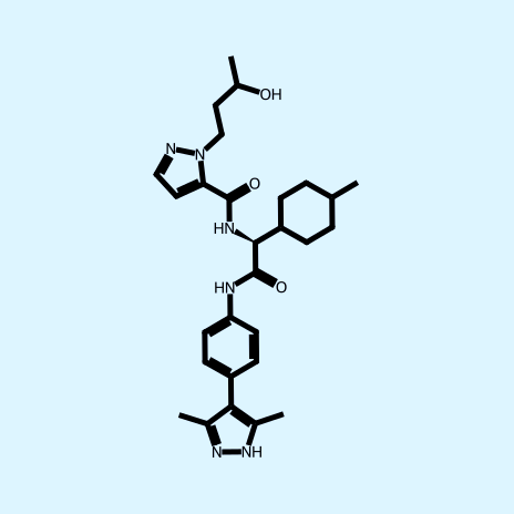 Cc1n[nH]c(C)c1-c1ccc(NC(=O)[C@@H](NC(=O)c2ccnn2CCC(C)O)C2CCC(C)CC2)cc1